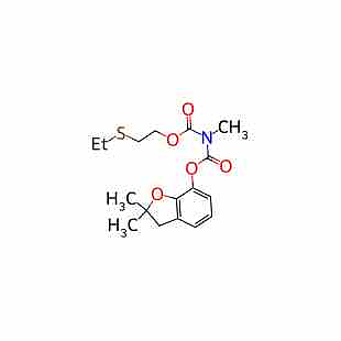 CCSCCOC(=O)N(C)C(=O)Oc1cccc2c1OC(C)(C)C2